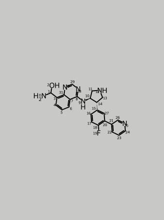 NC(O)c1cccc2c(N[C@H]3CNC[C@@H]3c3ccc(F)c(-c4cccnc4)c3)ncnc12